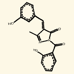 CC1=NN(C(=O)c2ccccc2O)C(=O)/C1=C/c1cccc(O)c1